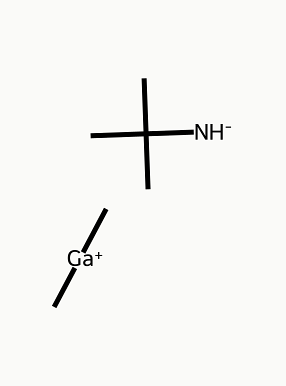 CC(C)(C)[NH-].[CH3][Ga+][CH3]